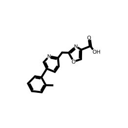 Cc1ccccc1-c1ccc(Cc2nc(C(=O)O)co2)nc1